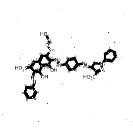 O=C(O)C1=NN(c2ccccc2)CC1N=Nc1ccc(N=Nc2c(SOOO)cc3cc(S(=O)(=O)O)c(N=Nc4ccccc4)c(O)c3c2O)cc1